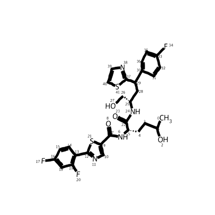 CC(O)CC[C@H](NC(=O)c1cnc(-c2ccc(F)cc2F)s1)C(=O)N[C@H](CO)CC(c1ccc(F)cc1)c1nccs1